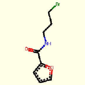 O=C(NCCCBr)c1ccco1